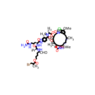 C=C(CBr)C(=O)OCCCCC(C=O)N[C@H](C(=O)N[C@@H](CCCNC(N)=O)C(=O)Nc1ccc(C(=O)N(C)[C@@H](C)C(=O)O[C@H]2CC(=O)N(C)c3cc(cc(OC)c3Cl)C/C(C)=C/C=C/[C@@H](OC)[C@@]3(O)C[C@H](OC(=O)N3)[C@@H](C)[C@@H]3O[C@@]23C)cc1)C(C)C